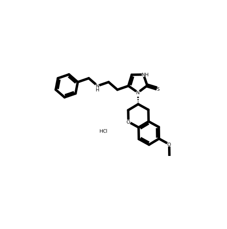 COc1ccc2c(c1)C[C@@H](n1c(CCNCc3ccccc3)c[nH]c1=S)CO2.Cl